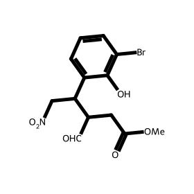 COC(=O)CC(C=O)C(C[N+](=O)[O-])c1cccc(Br)c1O